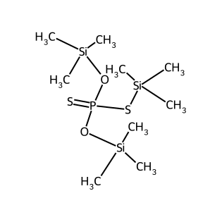 C[Si](C)(C)OP(=S)(O[Si](C)(C)C)S[Si](C)(C)C